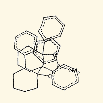 NP(OC1(c2ccccc2)CCCCC1c1ccccc1)OC1(c2ccccc2)CCCCC1c1ccccc1